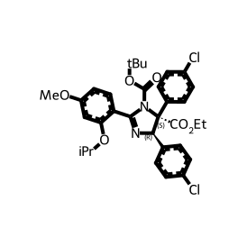 CCOC(=O)[C@]1(c2ccc(Cl)cc2)[C@@H](c2ccc(Cl)cc2)N=C(c2ccc(OC)cc2OC(C)C)N1C(=O)OC(C)(C)C